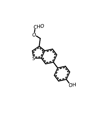 O=COCc1csc2cc(-c3ccc(O)cc3)ccc12